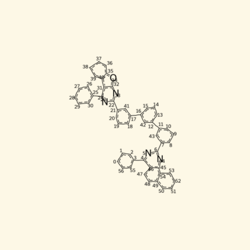 c1ccc(-c2nc(-c3cccc(-c4cccc(-c5cccc(-c6nc(-c7ccccc7)c7c(n6)oc6ccccc67)c5)c4)c3)nc3c2ccc2ccccc23)cc1